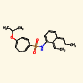 C/C=c1/c(NS(=O)(=O)C2=CCC=C(OC(C)C)C=C2)ccc/c1=C/CC